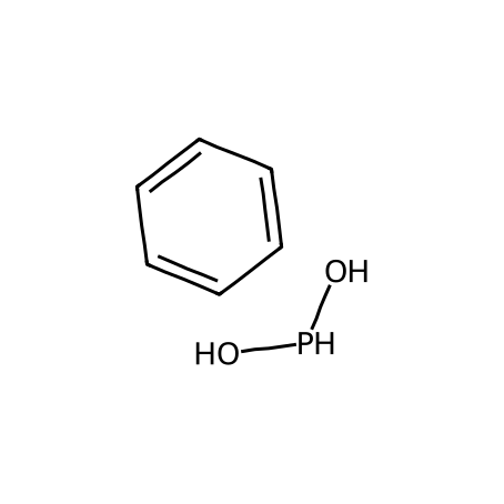 OPO.c1ccccc1